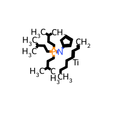 C=CC=CCCCC.CC(C)CCP(CCC(C)C)(CCC(C)C)=NC1=CC=CC1.[Ti]